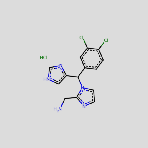 Cl.NCc1nccn1C(c1ccc(Cl)c(Cl)c1)c1c[nH]cn1